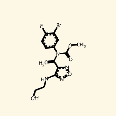 C=C(c1nonc1NCCO)N(C(=O)OC)c1ccc(F)c(Br)c1